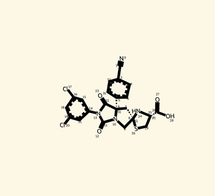 N#Cc1ccc([C@]23C[C@]4(CN2C(=O)N(c2cc(Cl)cc(Cl)c2)C3=O)N[C@H](C(=O)O)CS4)cc1